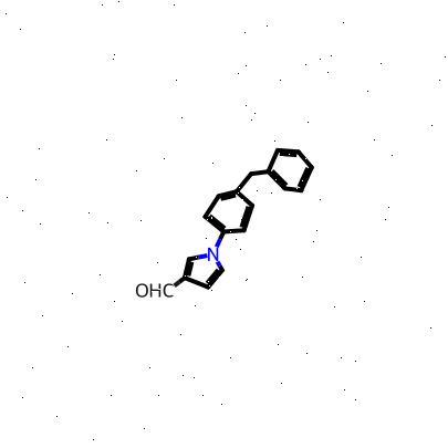 O=Cc1ccn(-c2ccc(Cc3ccccc3)cc2)c1